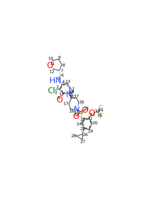 O=c1c(Cl)c(NC[C@H]2CCCOC2)cnn1C1CCN(S(=O)(=O)c2cc(C3CC3)ccc2OC(F)F)CC1